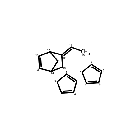 C1=CCC=C1.C1=CCC=C1.CC=C1CC2C=CC1C2